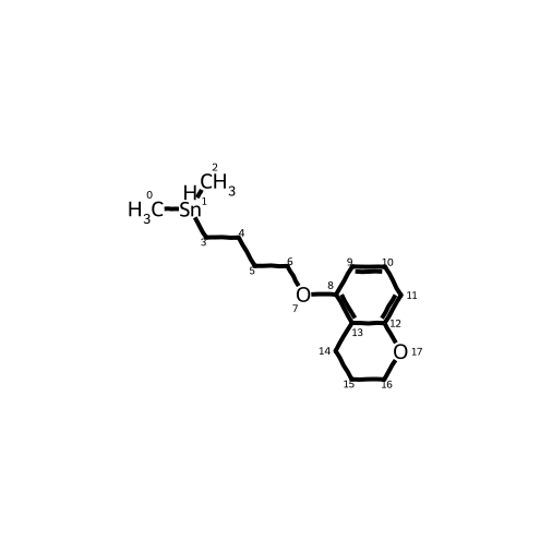 [CH3][SnH]([CH3])[CH2]CCCOc1cccc2c1CCCO2